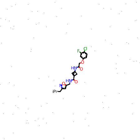 CC(C)Cc1cc(CNC(=O)C23CC(NC(=O)COc4ccc(Cl)c(F)c4)(C2)C3)on1